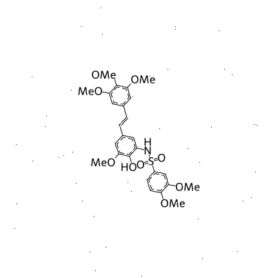 COc1ccc(S(=O)(=O)Nc2cc(C=Cc3cc(OC)c(OC)c(OC)c3)cc(OC)c2O)cc1OC